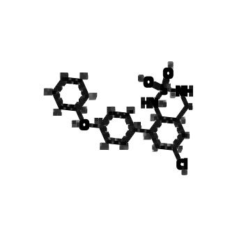 O=S1(=O)NCc2cc(Cl)cc(-c3ccc(Oc4ccccc4)cc3)c2N1